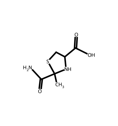 CC1(C(N)=O)NC(C(=O)O)CS1